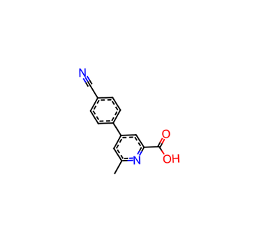 Cc1cc(-c2ccc(C#N)cc2)cc(C(=O)O)n1